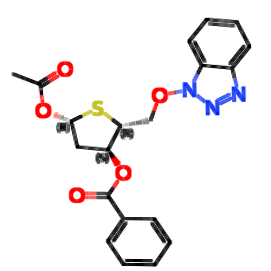 CC(=O)O[C@H]1C[C@H](OC(=O)c2ccccc2)[C@@H](COn2nnc3ccccc32)S1